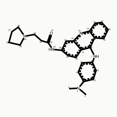 CN(C)c1ccc(Nc2c3ccccc3nc3cc(NC(=O)CCN4CCCC4)ccc23)cc1